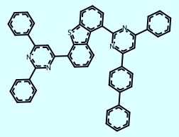 c1ccc(-c2ccc(-c3cc(-c4ccccc4)nc(-c4cccc5sc6c(-c7cc(-c8ccccc8)nc(-c8ccccc8)n7)cccc6c45)n3)cc2)cc1